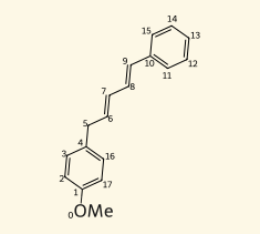 COc1ccc(CC=CC=Cc2ccccc2)cc1